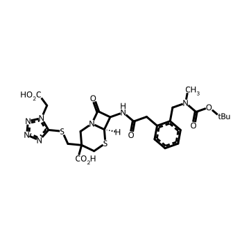 CN(Cc1ccccc1CC(=O)NC1C(=O)N2CC(CSc3nnnn3CC(=O)O)(C(=O)O)CS[C@H]12)C(=O)OC(C)(C)C